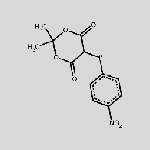 CC1(C)OC(=O)C([I+]c2ccc([N+](=O)[O-])cc2)C(=O)O1